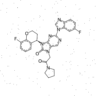 O=C(Cn1c(=O)n([C@@H]2CCOc3c(F)cccc32)c2nc(-n3cnc4ccc(F)cc43)ncc21)N1CCCC1